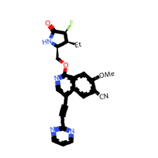 CC[C@@H]1[C@H](F)C(=O)N[C@@H]1COc1ncc(C#Cc2ncccn2)c2cc(C#N)c(OC)cc12